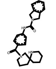 O=C(Nc1ccc(C(=O)N2CCCC3(CCCCN3)C2)cc1)N1Cc2ccccc2C1